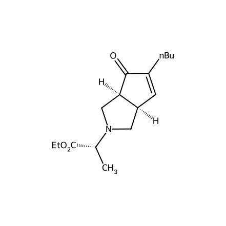 CCCCC1=C[C@H]2CN([C@H](C)C(=O)OCC)C[C@H]2C1=O